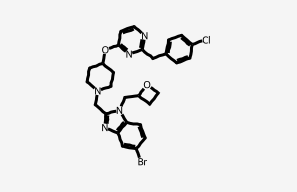 Clc1ccc(Cc2nccc(OC3CCN(Cc4nc5cc(Br)ccc5n4CC4CCO4)CC3)n2)cc1